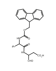 CC(C)C(NC(=O)OCC1c2ccccc2-c2ccccc21)C(=O)NC(C=O)CC(=O)O